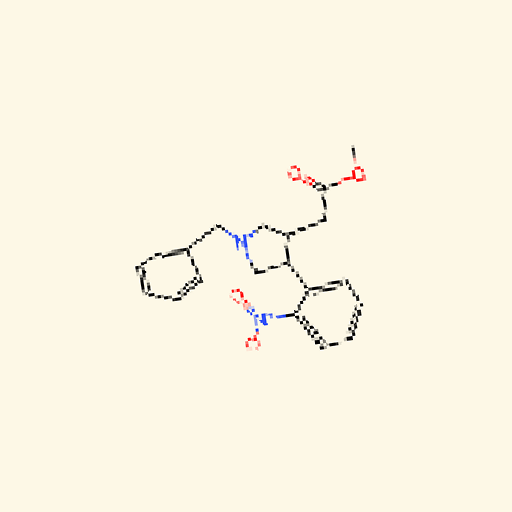 COC(=O)CC1CN(Cc2ccccc2)CC1c1ccccc1[N+](=O)[O-]